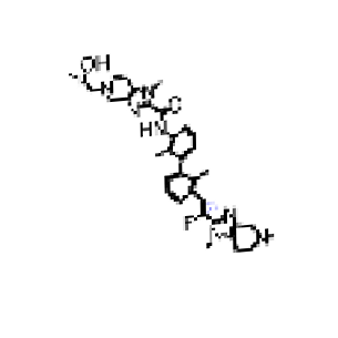 Cc1c(/C=C(\F)c2nc3c(n2C)CCN(C)C3)cccc1-c1cccc(NC(=O)c2nc3c(n2C)CCN(C[C@@H](C)O)C3)c1C